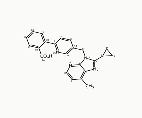 Cc1ccnc2c1nc(C1CC1)n2Cc1ccc(-c2ccccc2C(=O)O)nc1